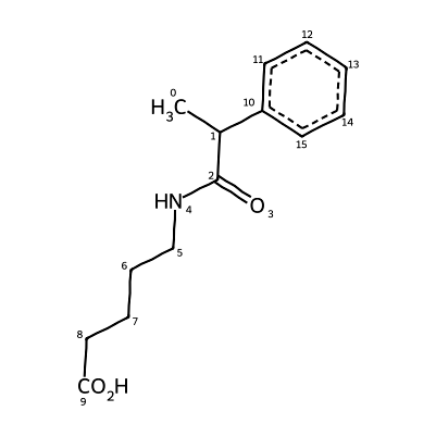 CC(C(=O)NCCCCC(=O)O)c1ccccc1